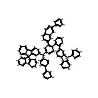 c1ccc(-c2ccc(N(c3ccc(-c4ccccc4-c4ccc5c6ccccc6n(-c6ccccc6)c5c4)c(-c4ccc5ccc(-c6ccccc6)cc5c4)c3)c3ccc4c(c3)C(c3ccccc3)(c3ccccc3)c3ccccc3-4)cc2)cc1